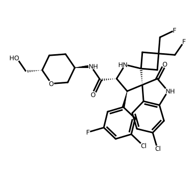 O=C(N[C@@H]1CC[C@@H](CO)OC1)[C@@H]1NC2(CC(CF)(CF)C2)[C@@]2(C(=O)Nc3cc(Cl)ccc32)[C@H]1c1cc(F)cc(Cl)c1